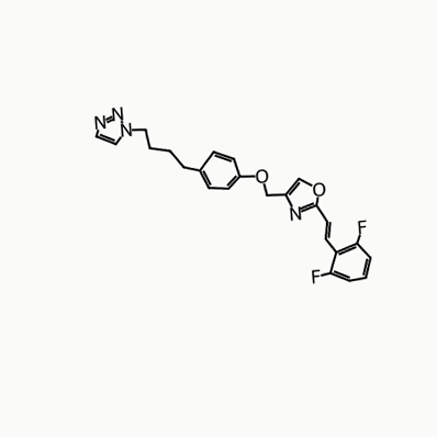 Fc1cccc(F)c1C=Cc1nc(COc2ccc(CCCCn3ccnn3)cc2)co1